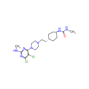 CNC(=O)N[C@H]1CC[C@H](CCN2CCN(c3nc(NC)nc(Cl)c3Cl)CC2)CC1